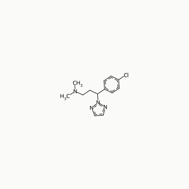 CN(C)CCC(c1ccc(Cl)cc1)n1nccn1